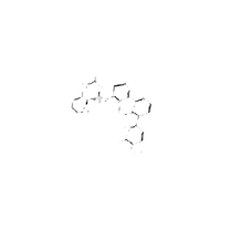 CCOc1nc(-c2cccc(-c3cccc(Nc4nc(C)nc5cccnc45)c3C)c2Cl)ccc1C=O